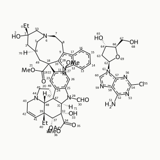 CC[C@]1(O)C[C@H]2C[N@](CCc3c([nH]c4ccccc34)[C@@](C(=O)OC)(c3cc4c(cc3OC)N(C=O)[C@H]3[C@@](O)(C(=O)OC)[C@H](OC(C)=O)[C@]5(CC)C=CCN6CC[C@]43[C@@H]65)C2)C1.Nc1nc(Cl)nc2c1ncn2[C@H]1C[C@H](O)[C@@H](CO)O1